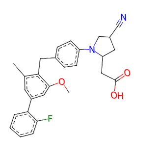 COc1cc(-c2ccccc2F)cc(C)c1Cc1ccc(N2CC(C#N)CC2CC(=O)O)cc1